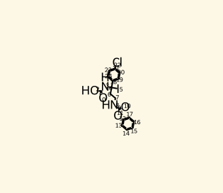 O=C(O)NC(I)(CCNC(=O)Oc1ccccc1)c1ccc(Cl)cc1